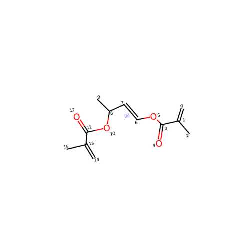 C=C(C)C(=O)O/C=C/C(C)OC(=O)C(=C)C